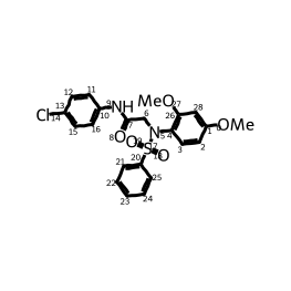 COc1ccc(N(CC(=O)Nc2ccc(Cl)cc2)S(=O)(=O)c2ccccc2)c(OC)c1